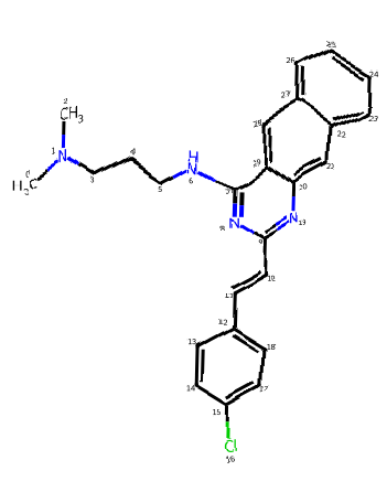 CN(C)CCCNc1nc(/C=C/c2ccc(Cl)cc2)nc2cc3ccccc3cc12